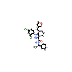 C[C@@H](NC(=O)c1nn(-c2ccc(Cl)cc2Cl)c2c1CCC/C2=C\c1ccoc1)c1ccccc1